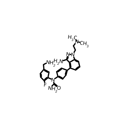 CN(C)CCn1nc(N)c2c(-c3ccc(N(C(N)=O)c4cc(CN)ccc4F)cc3)cccc21